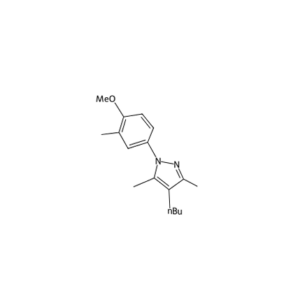 CCCCc1c(C)nn(-c2ccc(OC)c(C)c2)c1C